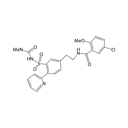 CNC(=O)NS(=O)(=O)c1cc(CCNC(=O)c2cc(Cl)ccc2OC)ccc1-c1ccccn1